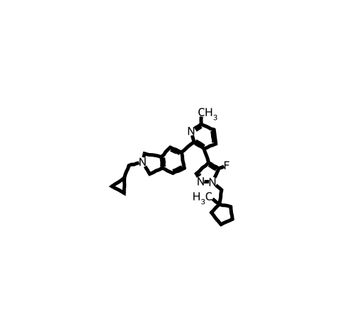 Cc1ccc(-c2cnn(CC3(C)CCCC3)c2F)c(-c2ccc3c(c2)CN(CC2CC2)C3)n1